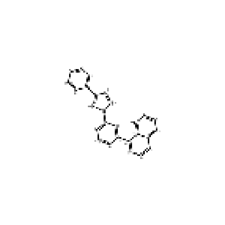 c1ccc(-c2nnn(-c3cncc(-c4cccc5cccnc45)c3)n2)nc1